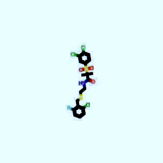 CC(C)(C(=O)NCCSCc1c(F)cccc1Cl)S(=O)(=O)c1ccc(Cl)c(Cl)c1